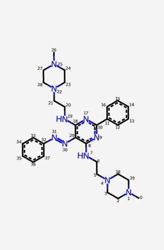 CN1CCN(CCNc2nc(-c3ccccc3)nc(NCCN3CCN(C)CC3)c2/N=N/c2ccccc2)CC1